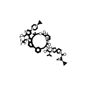 CO[C@@H](C)c1ncc(N2CCN(C3CC3)CC2)cc1-c1c2c3cc(ccc3n1CC(F)(F)F)-c1cccc(c1)C[C@H](NC(=O)[C@H](C(C)C)N1CC[C@]3(CCN(C(=O)[C@H]4[C@@H](C5CC5)N4C)C3)C1)C(=O)N1CCC[C@H](N1)C(=O)OCC(C)(C)C2